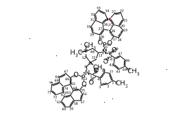 Cc1ccc(S(=O)(=O)N(CC2(C)CC(N(p3oc4ccc5ccccc5c4c4c(ccc5ccccc54)o3)S(=O)(=O)c3ccc(C)cc3)CC(C)(C)C2)p2oc3ccc4ccccc4c3c3c(ccc4ccccc43)o2)cc1